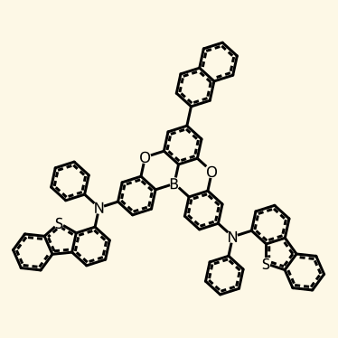 c1ccc(N(c2ccc3c(c2)Oc2cc(-c4ccc5ccccc5c4)cc4c2B3c2ccc(N(c3ccccc3)c3cccc5c3sc3ccccc35)cc2O4)c2cccc3c2sc2ccccc23)cc1